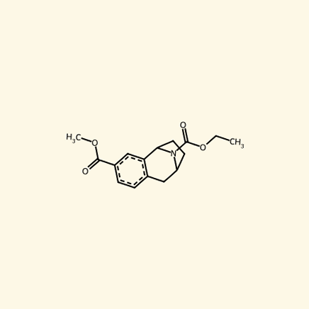 CCOC(=O)N1C2CCC1c1cc(C(=O)OC)ccc1C2